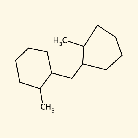 CC1CCCCC1CC1CCCCC1C